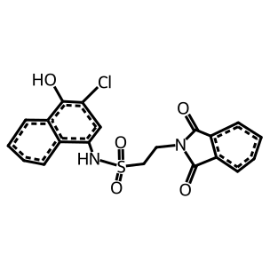 O=C1c2ccccc2C(=O)N1CCS(=O)(=O)Nc1cc(Cl)c(O)c2ccccc12